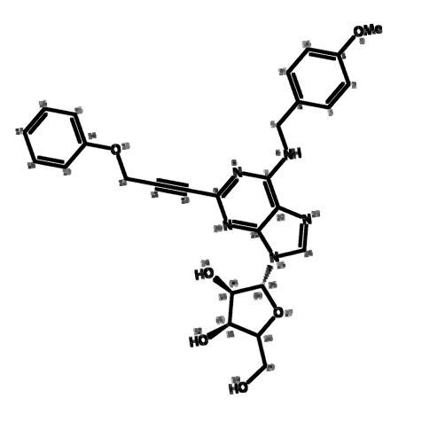 COc1ccc(CNc2nc(C#CCOc3ccccc3)nc3c2ncn3[C@@H]2OC(CO)[C@@H](O)[C@H]2O)cc1